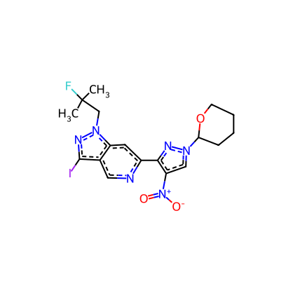 CC(C)(F)Cn1nc(I)c2cnc(-c3nn(C4CCCCO4)cc3[N+](=O)[O-])cc21